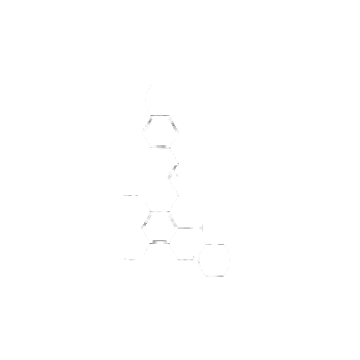 COc1ccc(/C=C/Cc2c(OC)cc(OC)c(CN3CCOCC3)c2O)cc1